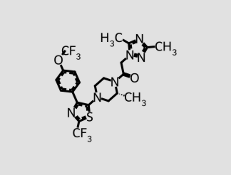 Cc1nc(C)n(CC(=O)N2CCN(c3sc(C(F)(F)F)nc3-c3ccc(OC(F)(F)F)cc3)C[C@H]2C)n1